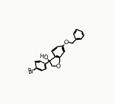 OC1(c2ccc(Br)cc2)COCc2cc(OCc3ccccc3)ccc21